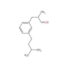 CC(C)CCc1cccc(CC(C)C=O)c1